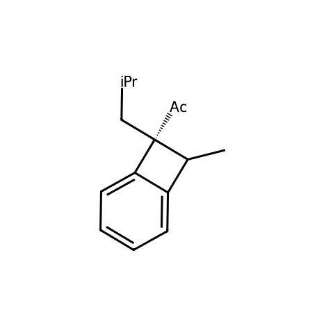 CC(=O)[C@@]1(CC(C)C)c2ccccc2C1C